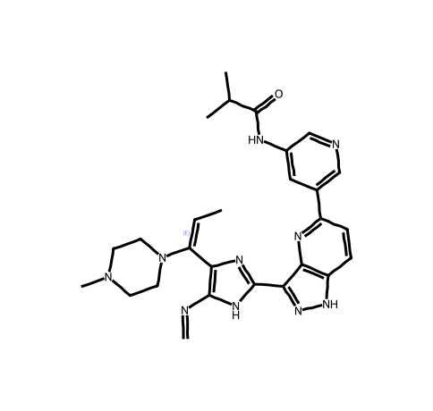 C=Nc1[nH]c(-c2n[nH]c3ccc(-c4cncc(NC(=O)C(C)C)c4)nc23)nc1/C(=C\C)N1CCN(C)CC1